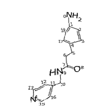 Nc1ccc(CCC(=O)NCc2ccncc2)cc1